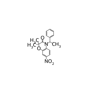 CC(c1ccccc1)N1C(=O)C(C)(C)Oc2cc([N+](=O)[O-])ccc21